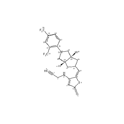 C#CCNC1=NC(=O)SC1=CC1C[C@@H]2CN(c3ccc(C(F)(F)F)cc3C(F)(F)F)C[C@@H]2C1